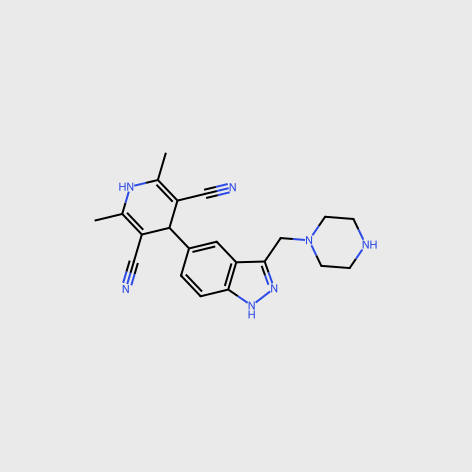 CC1=C(C#N)C(c2ccc3[nH]nc(CN4CCNCC4)c3c2)C(C#N)=C(C)N1